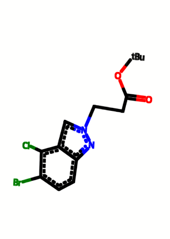 CC(C)(C)OC(=O)CCn1cc2c(Cl)c(Br)ccc2n1